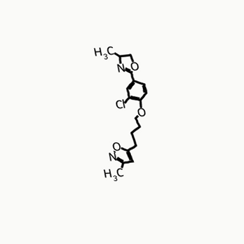 Cc1cc(CCCCOc2ccc(C3=NC(C)CO3)cc2Cl)on1